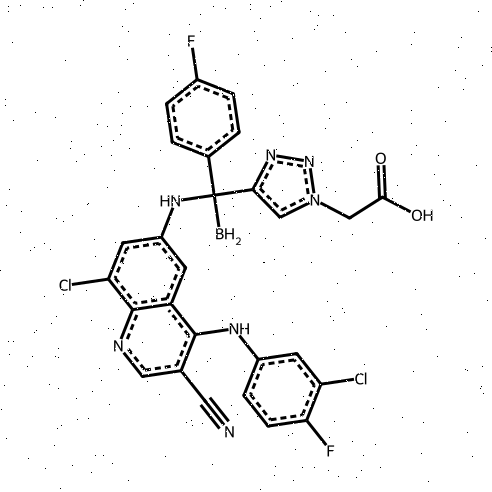 BC(Nc1cc(Cl)c2ncc(C#N)c(Nc3ccc(F)c(Cl)c3)c2c1)(c1ccc(F)cc1)c1cn(CC(=O)O)nn1